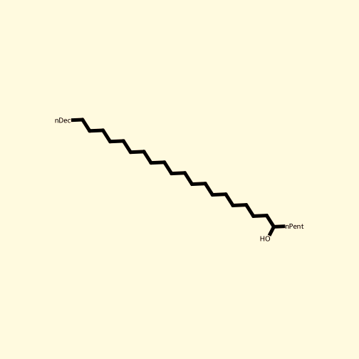 CCCCCCCCCCCCCCCCCCCCCCCCCCCCCC(O)CCCCC